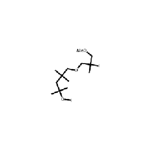 COCC(C)(I)COCC(C)(C)CC(C)(C)OI